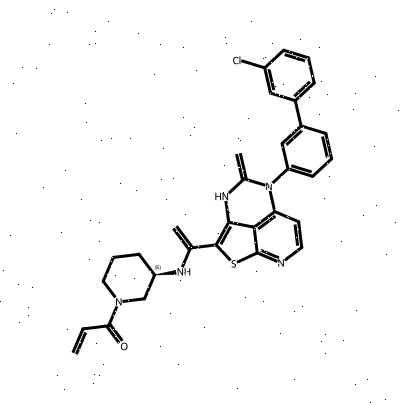 C=CC(=O)N1CCC[C@@H](NC(=C)c2sc3nccc4c3c2[nH]c(=C)n4-c2cccc(-c3cccc(Cl)c3)c2)C1